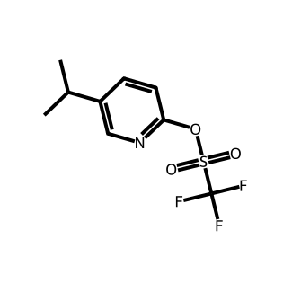 CC(C)c1ccc(OS(=O)(=O)C(F)(F)F)nc1